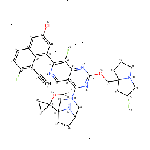 C#Cc1c(F)ccc2cc(O)cc(-c3ncc4c(N5CC6CCC(C7(OC)CC7)(C5)N6)nc(OC[C@@]56CCCN5C[C@H](F)C6)nc4c3F)c12